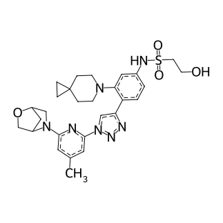 Cc1cc(N2CC3CC2CO3)nc(-n2cc(-c3ccc(NS(=O)(=O)CCO)cc3N3CCC4(CC3)CC4)nn2)c1